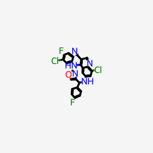 N#Cc1cnc2c(Cl)cc(NC(c3ccc(F)cc3)c3cocn3)cc2c1Nc1ccc(F)c(Cl)c1